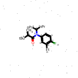 CCCC(CCC)N(C(=O)C(C)C(C)(C)C)c1ccc(F)c(CC)c1